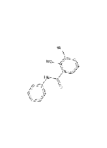 CC(C)(C)c1cccc(C(=O)Nc2ccccc2)c1O